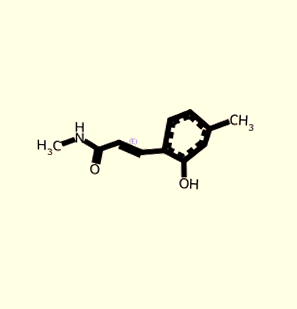 CNC(=O)/C=C/c1ccc(C)cc1O